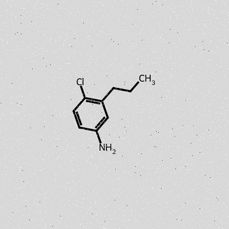 CCCc1cc(N)ccc1Cl